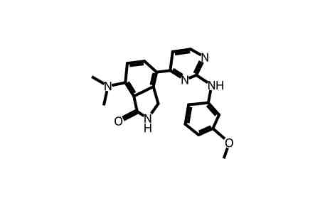 COc1cccc(Nc2nccc(-c3ccc(N(C)C)c4c3CNC4=O)n2)c1